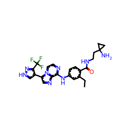 CCc1cc(Nc2nccn3c(-c4c[nH]nc4C(F)(F)F)cnc23)ccc1C(=O)NCCC1(N)CC1